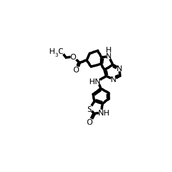 CCOC(=O)C1CCc2[nH]c3ncnc(Nc4ccc5[nH]c(=O)sc5c4)c3c2C1